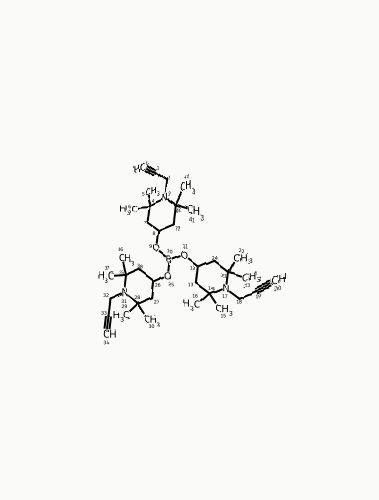 C#CCN1C(C)(C)CC(OB(OC2CC(C)(C)N(CC#C)C(C)(C)C2)OC2CC(C)(C)N(CC#C)C(C)(C)C2)CC1(C)C